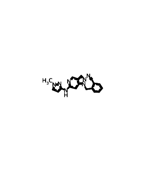 Cn1ccc(Nc2cc3c(cn2)cnn3Cc2ccccc2C#N)n1